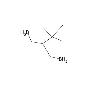 BCC(CB)C(C)(C)C